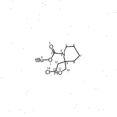 CC(C)(C)OC(=O)N1CCCCC1(CO)CCCl